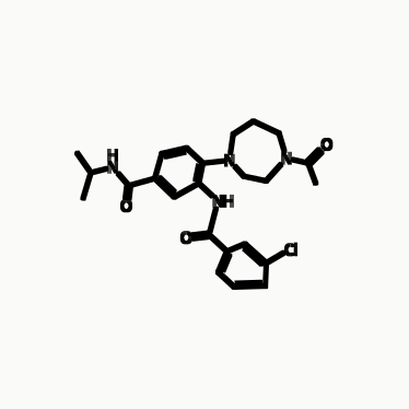 CC(=O)N1CCCN(c2ccc(C(=O)NC(C)C)cc2NC(=O)c2cccc(Cl)c2)CC1